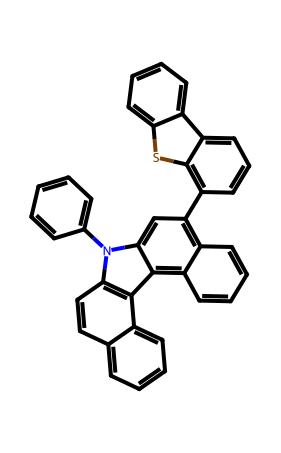 c1ccc(-n2c3ccc4ccccc4c3c3c4ccccc4c(-c4cccc5c4sc4ccccc45)cc32)cc1